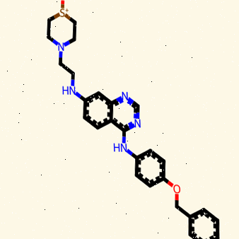 [O-][S+]1CCN(CCNc2ccc3c(Nc4ccc(OCc5ccccc5)cc4)ncnc3c2)CC1